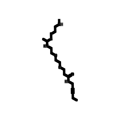 CCC#CCNC(=O)CCOCCOCCNC(C)SSCCNC